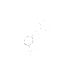 CC1CCN(S(=O)(=O)c2cccc(C(F)(F)F)c2)CC1